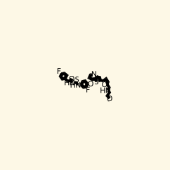 COCCNCc1ccc(-c2cc3nccc(Oc4ccc(NC(=S)NC(=O)Cc5ccc(F)cc5)cc4F)c3s2)o1